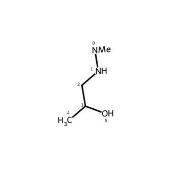 CNNCC(C)O